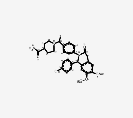 CC[C@@H](C)Oc1cc2c(cc1OC)CC(=O)N(c1ccc(C(C)N3CCC(C(N)=O)CC3)cc1)C2c1ccc(Cl)cc1